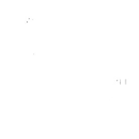 COc1cc(Cl)cc(/C=C2/SC(=S)NC2=O)c1O